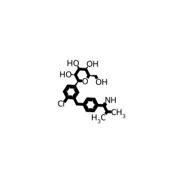 CC(C)C(=N)c1ccc(Cc2cc([C@@H]3O[C@H](CO)[C@@H](O)[C@H](O)[C@H]3O)ccc2Cl)cc1